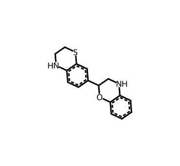 c1ccc2c(c1)NCC(c1ccc3c(c1)SCCN3)O2